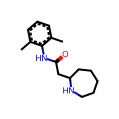 Cc1cccc(C)c1NC(=O)CC1CCCCCN1